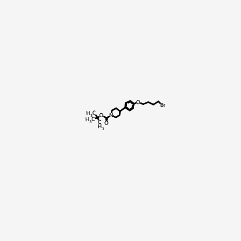 CC(C)(C)OC(=O)N1CCC(c2ccc(OCCCCBr)cc2)CC1